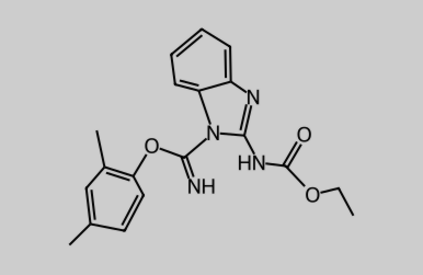 CCOC(=O)Nc1nc2ccccc2n1C(=N)Oc1ccc(C)cc1C